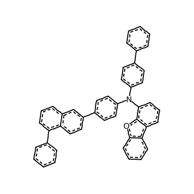 c1ccc(-c2ccc(N(c3ccc(-c4ccc5c(-c6ccccc6)cccc5c4)cc3)c3cccc4c3oc3ccccc34)cc2)cc1